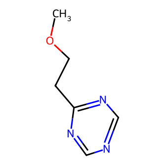 COCCc1ncncn1